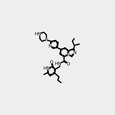 CCCc1cc(C)[nH]c(=O)c1CNC(=O)c1cc(-c2ccc(N3CCNCC3)nc2)cc2c(C(C)CC)ncn12